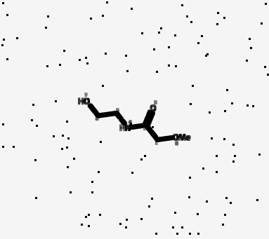 COCC(=O)NCCO